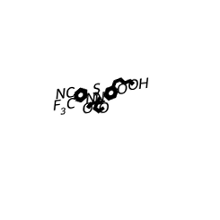 N#Cc1ccc(N2C(=O)C3(CCOC3)N(c3ccc4c(c3)CCC(CO)O4)C2=S)cc1C(F)(F)F